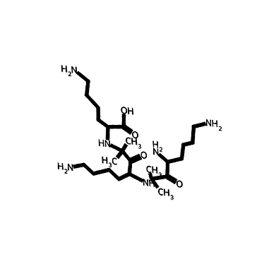 CC(C)(NC(CCCCN)C(=O)C(C)(C)NC(CCCCN)C(=O)O)C(=O)C(N)CCCCN